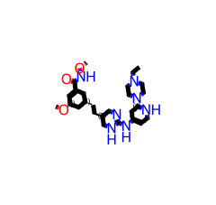 CCN1CCN([C@H]2CC(NC3=NC[C@H](CC[C@H]4CC(C(=O)NOC)=C[C@@H](OC)C4)CN3)=CCN2)CC1